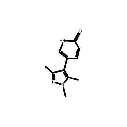 Cc1nn(C)c(C)c1-c1ccc(=O)[nH]c1